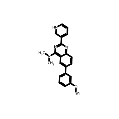 CCCOc1cccc(-c2ccc3nc(C4=CC=CNC4)nc(N(C)C)c3c2)c1